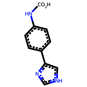 O=C(O)Nc1ccc(-c2c[nH]cn2)cc1